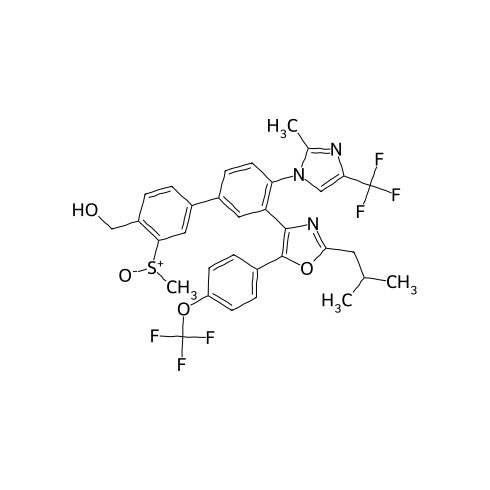 Cc1nc(C(F)(F)F)cn1-c1ccc(-c2ccc(CO)c([S+](C)[O-])c2)cc1-c1nc(CC(C)C)oc1-c1ccc(OC(F)(F)F)cc1